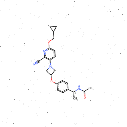 CC(=O)N[C@@H](C)c1ccc(OC2CN(c3ccc(OCC4CC4)nc3C#N)C2)cc1